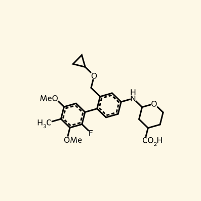 COc1cc(-c2ccc(NC3CC(C(=O)O)CCO3)cc2COC2CC2)c(F)c(OC)c1C